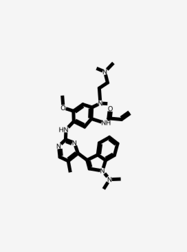 C=CC(=O)Nc1cc(Nc2ncc(C)c(-c3cn(N(C)C)c4ccccc34)n2)c(OC)cc1N(C)CCN(C)C